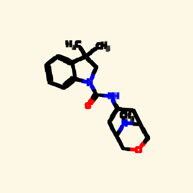 CN1C2COCC1CC(NC(=O)N1CC(C)(C)c3ccccc31)C2